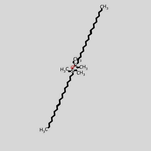 CCCCCCCCC=CCCCCCCCCCC[Si](CC)(CC)O[Si](CC)(CC)CCCCCCCCCCC=CCCCCCCCC